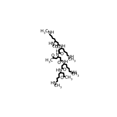 CNCCCCC(CC(=O)NC(CCCCNC)CC(=O)NC(CC(C)=O)CC(=O)NC(CCCCNC)CC(=O)NC(CCCCNC)CC(C)=O)NC